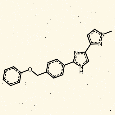 Cn1ccc(-c2c[nH]c(-c3ccc(COc4ccccc4)cc3)n2)n1